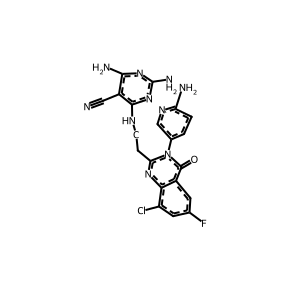 N#Cc1c(N)nc(N)nc1NCCc1nc2c(Cl)cc(F)cc2c(=O)n1-c1ccc(N)nc1